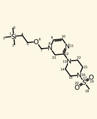 C[Si](C)(C)CCOCN1C=CN=C(N2CCN(S(C)(=O)=O)CC2)C1